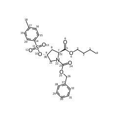 CCCCOC(=O)[C@@H]1C[C@@H](OS(=O)(=O)c2ccc(C)cc2)CN1C(=O)OCc1ccccc1